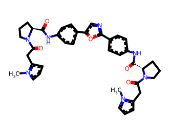 Cn1cccc1CC(=O)N1CCC[C@H]1C(=O)Nc1ccc(-c2cnc(-c3ccc(NC(=O)[C@@H]4CCCN4C(=O)Cc4cccn4C)cc3)o2)cc1